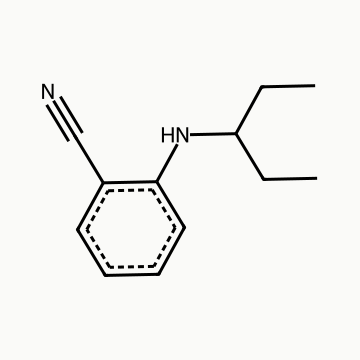 CCC(CC)Nc1ccccc1C#N